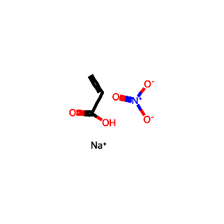 C=CC(=O)O.O=[N+]([O-])[O-].[Na+]